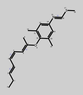 CC/C=C/C=C\C=C(/C)Oc1c(C)cc(/N=C/SC)cc1C